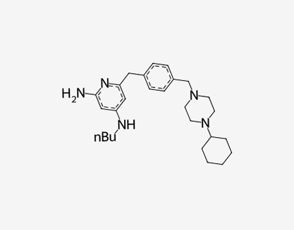 CCCCNc1cc(N)nc(Cc2ccc(CN3CCN(C4CCCCC4)CC3)cc2)c1